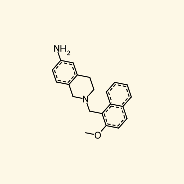 COc1ccc2ccccc2c1CN1CCc2cc(N)ccc2C1